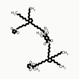 CCCCCCCCC1C(CCCCCC)CCC(CCCCCCCCC(C)(C)n2c(=O)c3cc4c(=O)n(CCCCCCCCC5C(CCCCCCCCC(C)(CC)N6C(=O)C=CC6=O)CCC(CCCCCC)C5CCCCCCCC)c(=O)c4cc3c2=O)C1CCCCCCCCN1C(=O)C=CC1=O